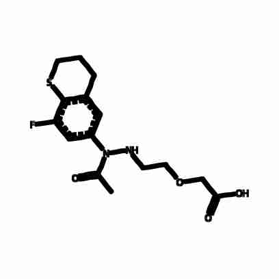 CC(=O)N(NCCOCC(=O)O)c1cc(F)c2c(c1)CCCS2